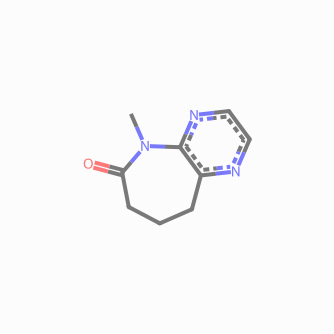 CN1C(=O)CCCc2nccnc21